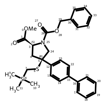 COC(=O)[C@@H]1C[C@@](SC[Si](C)(C)C)(c2ccc(-c3ccccc3)cc2)CN1C(=O)OCc1ccccc1